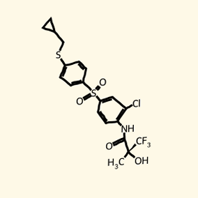 C[C@@](O)(C(=O)Nc1ccc(S(=O)(=O)c2ccc(SCC3CC3)cc2)cc1Cl)C(F)(F)F